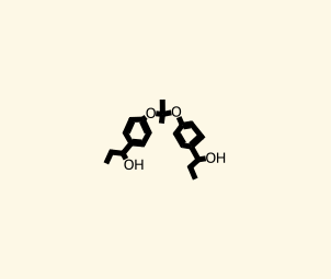 CCC(O)c1ccc(OC(C)(C)Oc2ccc(C(O)CC)cc2)cc1